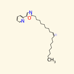 CCCCCCCC/C=C\CCCCCCCCc1ncc(-c2ccccn2)o1